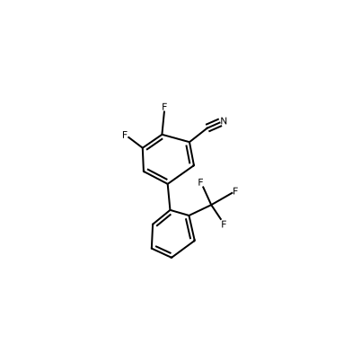 N#Cc1cc(-c2ccccc2C(F)(F)F)cc(F)c1F